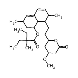 CCC(C)(CC)C(=O)OC1CC(C)C=C2C=CC(C)C(CCC3CC(OC)CC(=O)O3)C21